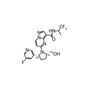 CC(NC(=O)c1cnn2ccc(N3[C@H](CO)CC[C@@H]3c3cncc(F)c3)nc12)C(F)(F)F